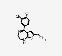 CCc1cc2c(s1)NCCN=C2c1ccc(Cl)c(Cl)c1